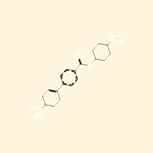 CC1CC=C(c2ccc(C(=O)OC3CCC(C)CC3)cc2)CC1